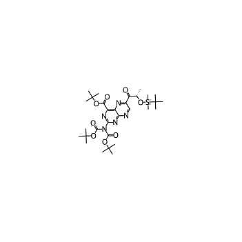 C[C@H](O[Si](C)(C)C(C)(C)C)C(=O)c1cnc2nc(N(C(=O)OC(C)(C)C)C(=O)OC(C)(C)C)nc(C(=O)OC(C)(C)C)c2n1